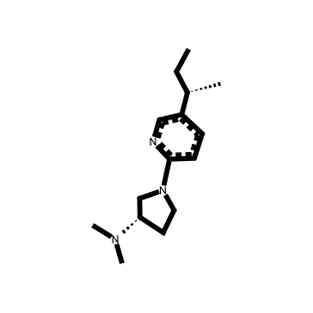 CC[C@H](C)c1ccc(N2CC[C@H](N(C)C)C2)nc1